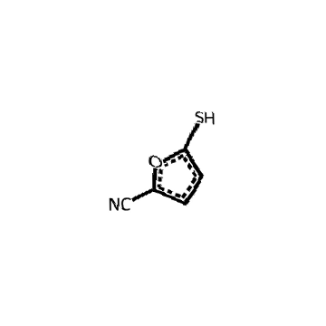 N#Cc1ccc(S)o1